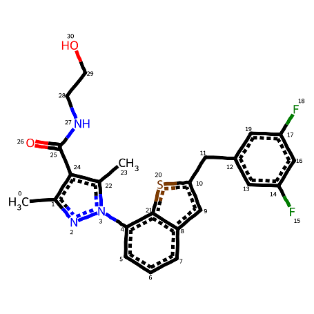 Cc1nn(-c2cccc3cc(Cc4cc(F)cc(F)c4)sc23)c(C)c1C(=O)NCCO